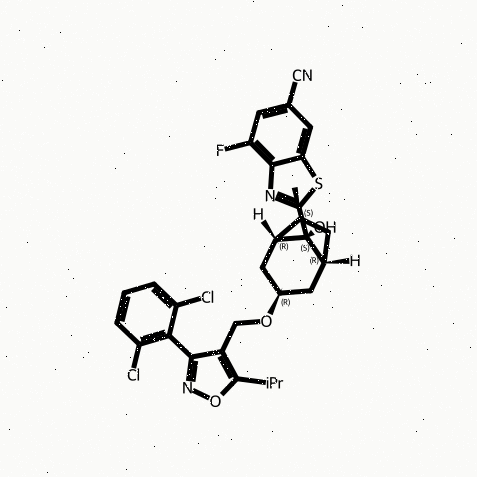 CC(C)c1onc(-c2c(Cl)cccc2Cl)c1CO[C@@H]1C[C@H]2C[C@H](C)[C@@H](C1)[C@]2(O)c1nc2c(F)cc(C#N)cc2s1